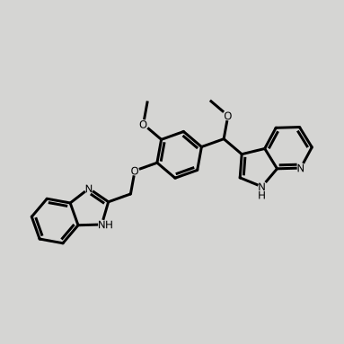 COc1cc(C(OC)c2c[nH]c3ncccc23)ccc1OCc1nc2ccccc2[nH]1